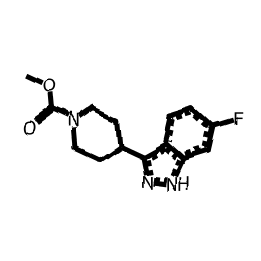 COC(=O)N1CCC(c2n[nH]c3cc(F)ccc23)CC1